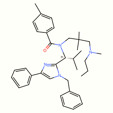 CCCN(C)CC(C)(C)CN(C(=O)c1ccc(C)cc1)[C@@H](c1nc(-c2ccccc2)cn1Cc1ccccc1)C(C)C